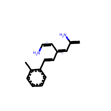 C=C(N)/C=C(C=Cc1ccccc1C)\C=C/N